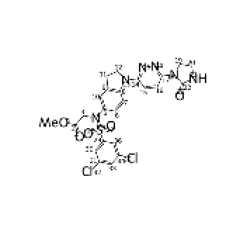 COC(=O)CN(c1ccc2c(c1)CCN2c1ccc(N2CCNC2=O)nn1)S(=O)(=O)c1cc(Cl)cc(Cl)c1